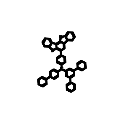 c1ccc(-c2ccc(N(c3ccc(-c4cc5c6ccccc6oc5c5c4sc4ccccc45)cc3)c3cc(-c4ccccc4)cc(-c4ccccc4)c3)cc2)cc1